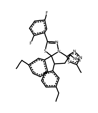 CCc1cccc(C(CCN)C2(c3cccc(CC)c3)SC(c3cc(F)ccc3F)=NN2c2nnc(C)s2)c1